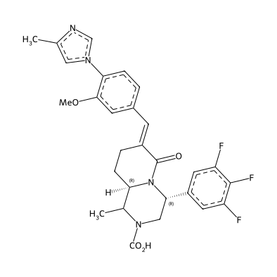 COc1cc(C=C2CC[C@@H]3C(C)N(C(=O)O)C[C@@H](c4cc(F)c(F)c(F)c4)N3C2=O)ccc1-n1cnc(C)c1